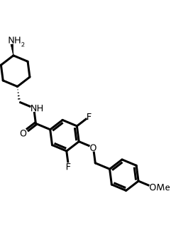 COc1ccc(COc2c(F)cc(C(=O)NC[C@H]3CC[C@H](N)CC3)cc2F)cc1